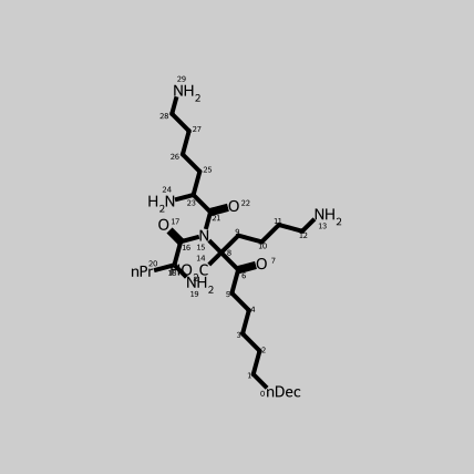 CCCCCCCCCCCCCCCC(=O)C(CCCCN)(C(=O)O)N(C(=O)C(N)CCC)C(=O)C(N)CCCCN